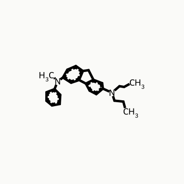 CCCN(CCC)c1ccc2c(c1)Cc1ccc(N(C)c3ccccc3)cc1-2